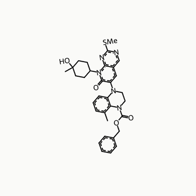 CSc1ncc2cc(N3CCN(C(=O)OCc4ccccc4)c4c(C)cccc43)c(=O)n(C3CCC(C)(O)CC3)c2n1